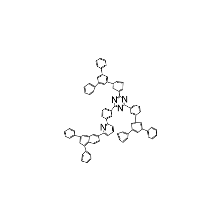 c1ccc(-c2cc(-c3ccccc3)cc(-c3cccc(-c4nc(-c5cccc(-c6cc(-c7ccccc7)cc(-c7ccccc7)c6)c5)nc(-c5cccc(-c6cccc(-c7ccc8c(-c9ccccc9)cc(-c9ccccc9)cc8c7)n6)c5)n4)c3)c2)cc1